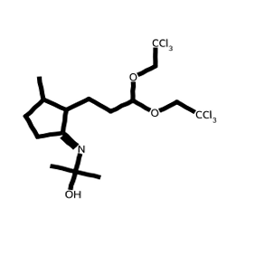 CC1CC/C(=N\C(C)(C)O)C1CCC(OCC(Cl)(Cl)Cl)OCC(Cl)(Cl)Cl